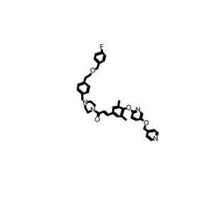 Cc1cc(C=CC(=O)N2CCN(Cc3ccc(CCOCc4ccc(F)cc4)cc3)CC2)cc(C)c1Oc1ccc(OCc2ccncc2)cn1